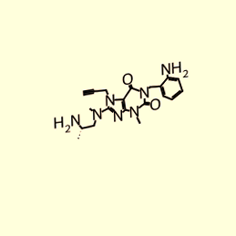 C#CCn1c(N(C)C[C@H](C)N)nc2c1c(=O)n(Cc1ccccc1N)c(=O)n2C